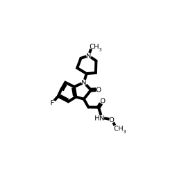 CONC(=O)CC1C(=O)N(C2CCN(C)CC2)c2ccc(F)cc21